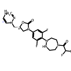 C=NN(/C=C\N)C[C@H]1CN(c2cc(F)c(N3CCN(C(=O)C(F)F)CCN3)c(F)c2)C(=O)O1